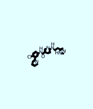 O=C(Nc1ccc(Cl)c(-c2ccccn2)c1)c1ccc(NCCc2cnc[nH]2)nc1